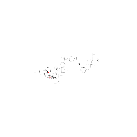 C[C@@H]1CN(C(=O)[C@@H]2N[C@]3(CCCC(C)(C)C3)[C@@]3(CNc4cc(C(F)(F)F)ncc43)[C@H]2c2cccc(Cl)c2F)c2ccc(C(=O)N3CCC4(CC3)C[C@@H]4C#Cc3cccc4c3CN([C@H]3CCC(=O)NC3=O)C4)cc2O1